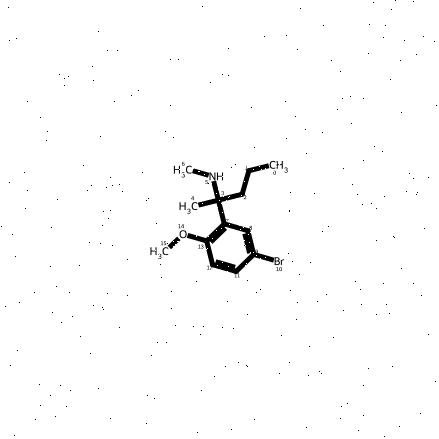 CCCC(C)(NC)c1cc(Br)ccc1OC